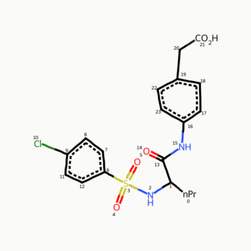 CCCC(NS(=O)(=O)c1ccc(Cl)cc1)C(=O)Nc1ccc(CC(=O)O)cc1